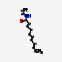 C/C=C/C=C/CC/C=C/C(=O)NCC(C)C